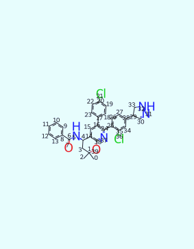 CC1(C)C[C@@H](NC(=O)c2ccccc2)c2cc(-c3ccc(Cl)cc3)c(-c3ccc(C4C=NNC4)cc3Cl)nc2O1